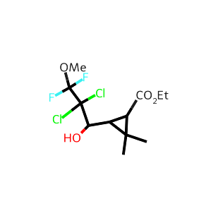 CCOC(=O)C1C(C(O)C(Cl)(Cl)C(F)(F)OC)C1(C)C